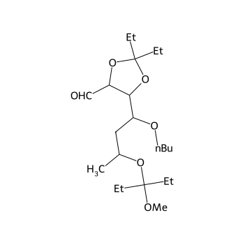 CCCCOC(CC(C)OC(CC)(CC)OC)C1OC(CC)(CC)OC1C=O